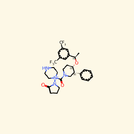 C[C@@H](O[C@H]1CCN(C(=O)[N+]2(N3CCCC3=O)CCNCC2)C[C@H]1c1ccccc1)c1cc(C(F)(F)F)cc(C(F)(F)F)c1